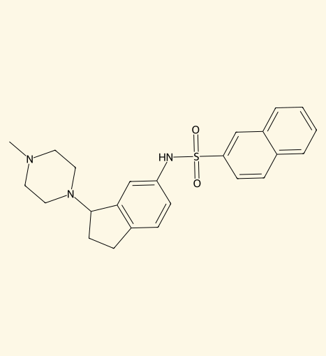 CN1CCN(C2CCc3ccc(NS(=O)(=O)c4ccc5ccccc5c4)cc32)CC1